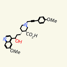 COc1ccc(C#CCN2CC[C@@H](CCC(O)c3ccnc4ccc(OC)cc34)[C@@H](C(=O)O)C2)cc1